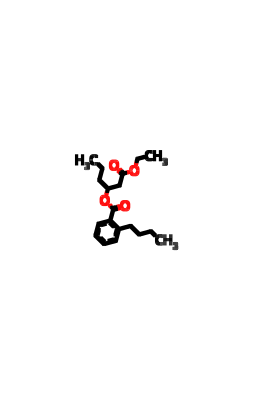 CCCCc1ccccc1C(=O)OC(CCC)CC(=O)OCC